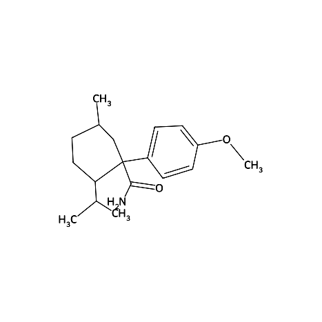 COc1ccc(C2(C(N)=O)CC(C)CCC2C(C)C)cc1